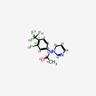 CC(=O)N(c1ccc(C(F)(F)F)c(F)c1)N1C=NC=CC1